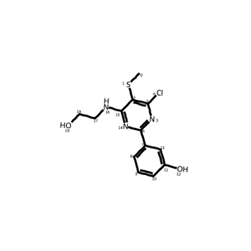 CSc1c(Cl)nc(-c2cccc(O)c2)nc1NCCO